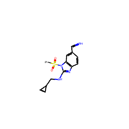 CC(C)S(=O)(=O)n1c(NCC2CC2)nc2ccc(C=N)cc21